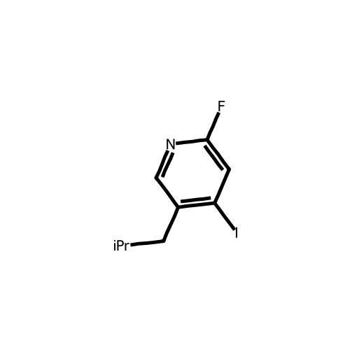 [CH2]C(C)Cc1cnc(F)cc1I